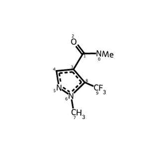 CNC(=O)c1cnn(C)c1C(F)(F)F